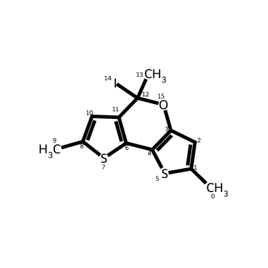 Cc1cc2c(s1)-c1sc(C)cc1C(C)(I)O2